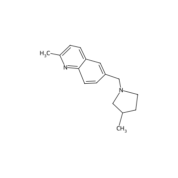 Cc1ccc2cc(CN3CCC(C)C3)ccc2n1